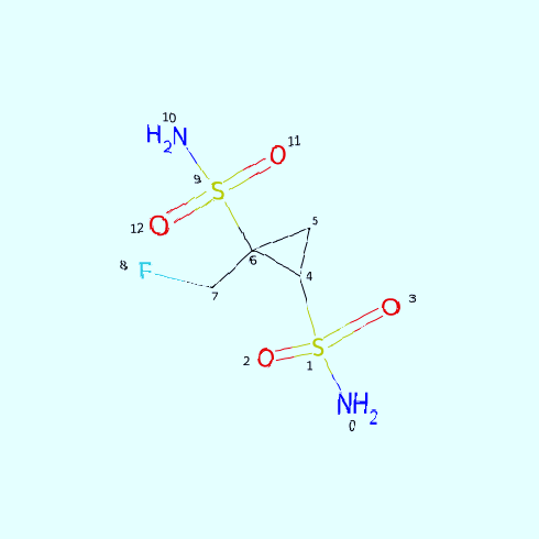 NS(=O)(=O)C1CC1(CF)S(N)(=O)=O